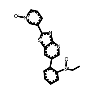 CC[S+]([O-])c1ccccc1-c1cnc2nc(-c3ccc[n+]([O-])c3)sc2c1